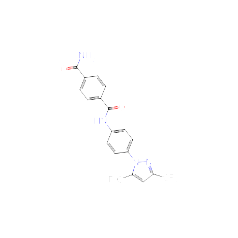 NC(=O)c1ccc(C(=O)Nc2ccc(-n3nc(C(F)(F)F)cc3C(F)(F)F)cc2)cc1